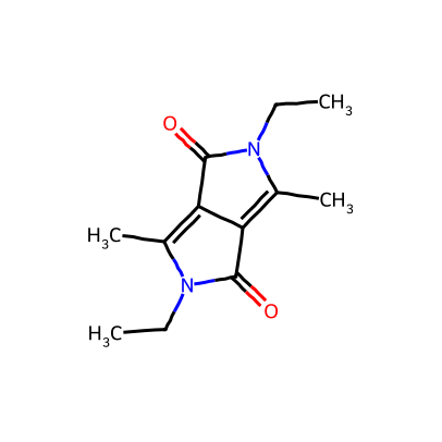 CCN1C(=O)C2=C(C)N(CC)C(=O)C2=C1C